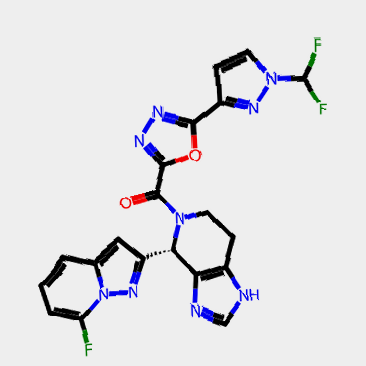 O=C(c1nnc(-c2ccn(C(F)F)n2)o1)N1CCc2[nH]cnc2[C@@H]1c1cc2cccc(F)n2n1